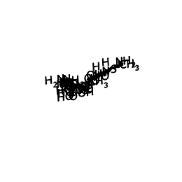 CC(N)CCSCCNC(=O)CCNC(=O)C(O)C(C)(C)COP(=O)(O)OP(=O)(O)OC[C@H]1O[C@H](n2cnc3c(N)ncnc32)[C@H](O)[C@@H]1OP(=O)(O)O